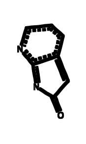 O=C1C=c2cccnc2=N1